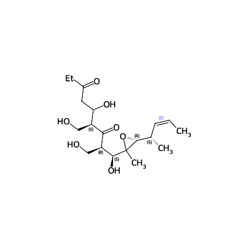 C/C=C\[C@H](C)[C@H]1OC1(C)[C@@H](O)[C@@H](CO)C(=O)[C@@H](CO)C(O)CC(=O)CC